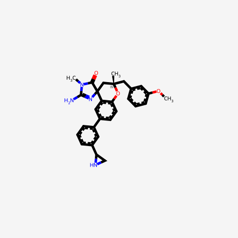 COc1cccc(C[C@@]2(C)CC3(N=C(N)N(C)C3=O)c3cc(-c4cccc(C5CN5)c4)ccc3O2)c1